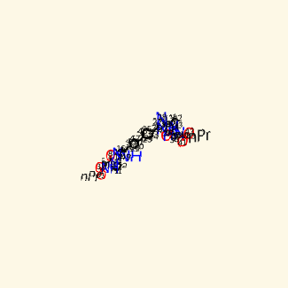 CCCOC(=O)N[C@@H](C)C(=O)N1CCCC1c1ncc(-c2ccc(-c3ccc(-c4cnc([C@@H]5CCCN5C(=O)[C@H](C)NC(=O)OCCC)[nH]4)cc3)cc2)[nH]1